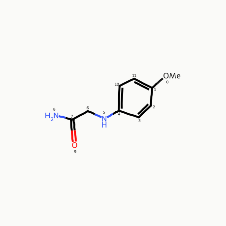 COc1ccc(NCC(N)=O)cc1